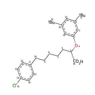 CC(C)(C)c1cc(OC(CCCCCc2ccc(Cl)cc2)C(=O)O)cc(C(C)(C)C)c1